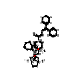 Cc1nc2ccccc2n1C1C[C@H]2CC[C@@H](C1)N2CCC1CCN(C(=O)CC=C(c2ccccc2)c2ccccc2)CC1